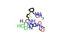 CNCc1ccccc1-c1ccc(C(C)Nc2nc(Cl)nc3c2CN(C(=O)N2CCOCC2)C3)s1.Cl